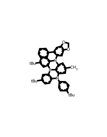 Cc1cc2c3c(c1)N(c1cc4c(cc1-c1ccccc1)OCO4)c1ccc(C(C)(C)C)cc1B3c1cc(C(C)(C)C)ccc1N2c1ccc(C(C)(C)C)cc1